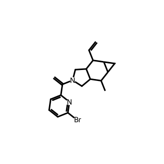 C=CC1C2CC2C(C)C2CN(C(=C)c3cccc(Br)n3)CC12